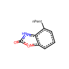 [CH2]CCCCc1cccc2oc(=O)[nH]c12